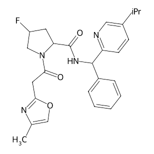 Cc1coc(CC(=O)N2CC(F)CC2C(=O)NC(c2ccccc2)c2ccc(C(C)C)cn2)n1